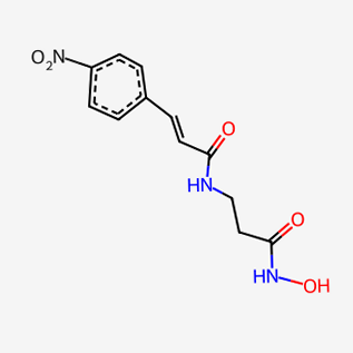 O=C(C=Cc1ccc([N+](=O)[O-])cc1)NCCC(=O)NO